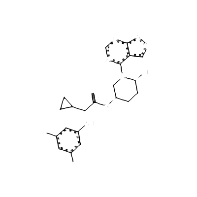 C[C@H]1CC[C@@H](NC(=O)[C@H](Nc2cc(F)cc(Cl)c2)C2CC2)CN1c1ncnc2[nH]ncc12